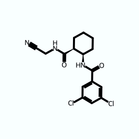 N#CCNC(=O)[C@H]1CCCC[C@H]1NC(=O)c1cc(Cl)cc(Cl)c1